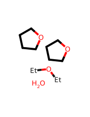 C1CCOC1.C1CCOC1.CCOCC.O